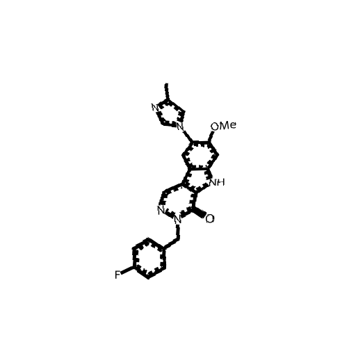 COc1cc2[nH]c3c(=O)n(Cc4ccc(F)cc4)ncc3c2cc1-n1cnc(C)c1